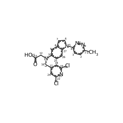 Cc1ccc(-n2ccc3cc(N(CC(=O)O)Sc4cc(Cl)nc(Cl)c4)ccc32)nn1